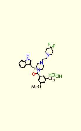 COc1cc(C(=O)N2CCN(CCN3CCC(F)(F)CC3)C[C@H]2Cc2c[nH]c3ccccc23)cc(C(F)(F)F)c1.Cl.Cl